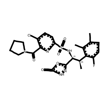 Cc1ccc(F)c([C@@H](C)[C@H](NS(=O)(=O)c2ccc(Cl)c(C(=O)N3CCCC3)n2)c2n[nH]c(=O)o2)c1C